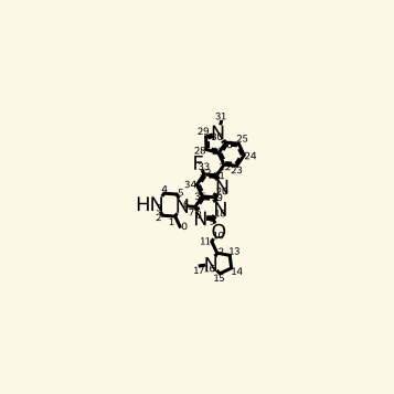 CC1CNCCN1c1nc(OCC2CCCN2C)nc2nc(-c3cccc4c3ccn4C)c(F)cc12